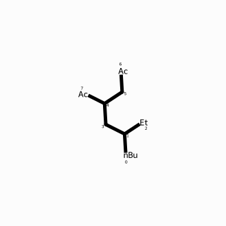 CCCCC(CC)CC(CC(C)=O)C(C)=O